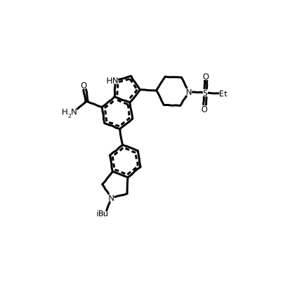 CCC(C)N1Cc2ccc(-c3cc(C(N)=O)c4[nH]cc(C5CCN(S(=O)(=O)CC)CC5)c4c3)cc2C1